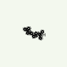 c1ccc(C2=NC(c3cccc4c3sc3cccc(-c5ccc6oc7c(-n8c9ccccc9c9ccccc98)cccc7c6c5)c34)NC(c3ccccc3)N2)cc1